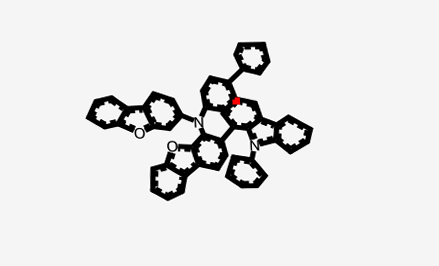 c1ccc(-c2ccc(N(c3ccc4c(c3)oc3ccccc34)c3c(-c4cccc5c6ccccc6n(-c6ccccc6)c45)ccc4c3oc3ccccc34)cc2)cc1